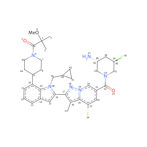 COC(C)(C)C(=O)N1CCC(c2cccc3cc(-c4nn5cc(C(=O)N6C[C@H](N)C[C@@H](F)C6)cc(F)c5c4C)n(CC4CC4)c23)CC1